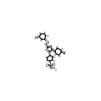 NS(=O)(=O)c1ccc(-c2sc(COc3cccc(F)c3)nc2-c2ccc(F)cc2)cc1